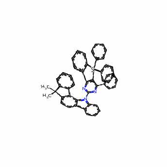 CC1(C)c2ccccc2-c2c1ccc1c3ccccc3n(-c3nc(-c4ccccc4)c4c(n3)-c3ccccc3[Si]4(c3ccccc3)c3ccccc3)c21